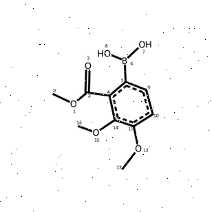 COC(=O)c1c(B(O)O)ccc(OC)c1OC